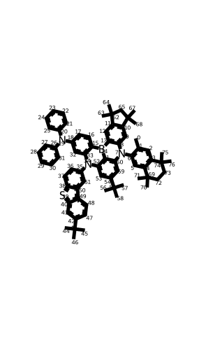 Cc1cc2c(cc1N1c3cc4c(cc3B3c5ccc(N(c6ccccc6)c6ccccc6)cc5N(c5ccc6sc7cc(C(C)(C)C)ccc7c6c5)c5cc(C(C)(C)C)cc1c53)C(C)(C)CC4(C)C)C(C)(C)CCC2(C)C